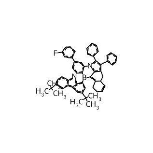 CC(C)(C)c1ccc2c(c1)c1cc(C(C)(C)C)cc3c1n2-c1cc(-c2cccc(F)c2)cc2c1B3C1=C3CCC=CC3Cc3c(-c4ccccc4)c(-c4ccccc4)n-2c31